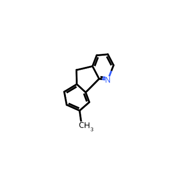 Cc1ccc2c(c1)-c1ncccc1C2